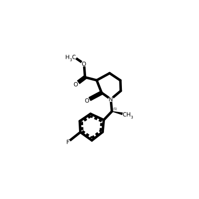 COC(=O)C1CCCN([C@@H](C)c2ccc(F)cc2)C1=O